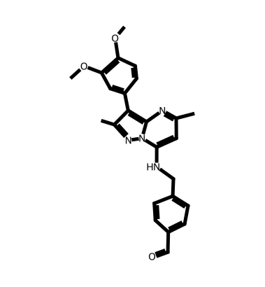 COc1ccc(-c2c(C)nn3c(NCc4ccc(C=O)cc4)cc(C)nc23)cc1OC